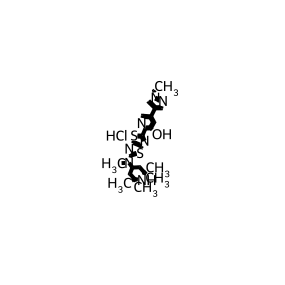 CCn1cc(-c2cnc(-c3nc4sc(N(C)C5CC(C)(C)NC(C)(C)C5)nc4s3)c(O)c2)cn1.Cl